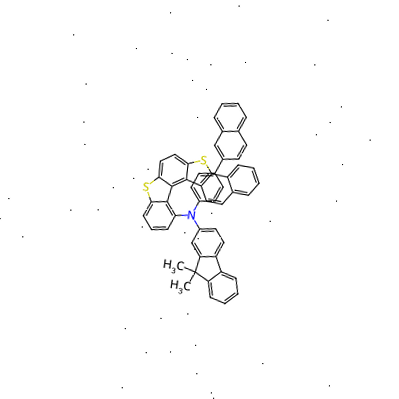 CC1(C)c2ccccc2-c2ccc(N(c3ccc(-c4ccc5ccccc5c4)cc3)c3cccc4sc5ccc6sc7c8ccccc8ccc7c6c5c34)cc21